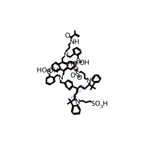 C=C(C)C(=O)NCCCN(Cc1ccccc1B(O)O)Cc1c2ccccc2c(CN(Cc2ccc(C(=C\C=C3/N(CCCS(=O)(=O)O)c4ccccc4C3(C)C)/C=C/C3=[N+](CCCS(=O)(=O)[O-])c4ccccc4C3(C)C)cc2)Cc2ccccc2B(O)O)c2ccccc12